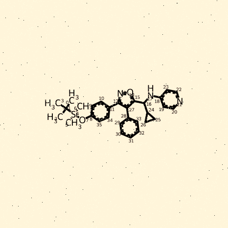 CC(C)(C)[Si](C)(C)Oc1ccc(-c2noc(C(Nc3ccncc3)C3CC3)c2-c2ccccc2)cc1